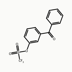 O=C(c1ccccc1)c1cccc(OS(=O)(=O)C(F)(F)F)c1